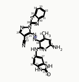 Cc1cc(N)nc(Nc2ccc3[nH]c(=O)[nH]c3c2)c1/N=N/c1c(C#N)cnn1-c1nc2ccccc2s1